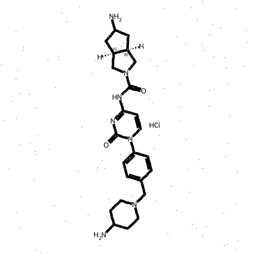 Cl.NC1CCN(Cc2ccc(-n3ccc(NC(=O)N4C[C@H]5CC(N)C[C@H]5C4)nc3=O)cc2)CC1